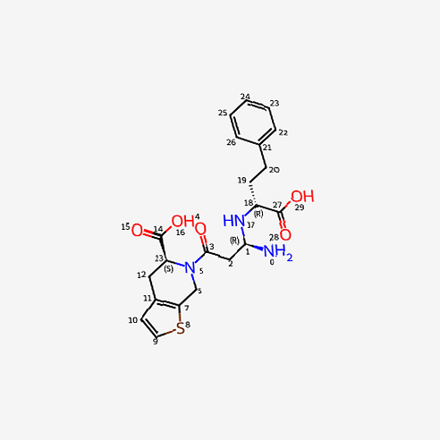 N[C@@H](CC(=O)N1Cc2sccc2C[C@H]1C(=O)O)N[C@H](CCc1ccccc1)C(=O)O